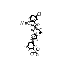 COc1ccc(Cl)cc1S(=O)(=O)N(Cc1ccc(-c2cccc(S(C)(=O)=O)c2)s1)CC(C)C